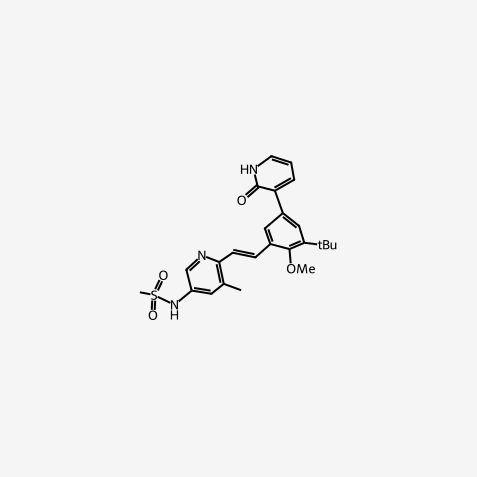 COc1c(/C=C/c2ncc(NS(C)(=O)=O)cc2C)cc(-c2ccc[nH]c2=O)cc1C(C)(C)C